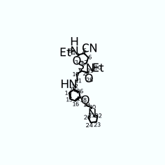 CCNC(=O)C(C#N)CC1SC(CCNc2cccc(OCCN3CCCC3)c2)C(=O)N1CC